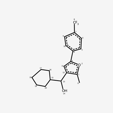 Cc1oc(-c2ccc(C(F)(F)F)cc2)cc1C(O)C1CCCCC1